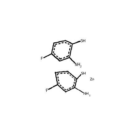 Nc1cc(F)ccc1S.Nc1cc(F)ccc1S.[Zn]